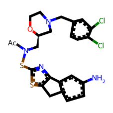 CC(=O)N(C[C@@H]1CN(Cc2ccc(Cl)c(Cl)c2)CCO1)Sc1nc2c(s1)Cc1ccc(N)cc1-2